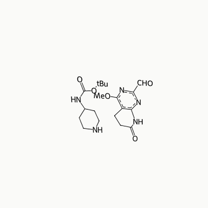 CC(C)(C)OC(=O)NC1CCNCC1.COc1nc(C=O)nc2c1CCC(=O)N2